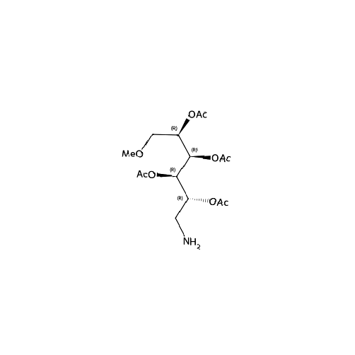 COC[C@@H](OC(C)=O)[C@@H](OC(C)=O)[C@H](OC(C)=O)[C@@H](CN)OC(C)=O